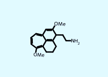 COC1=CC2=CC=CC(OC)=C3CCCC(=C23)C1CCN